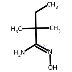 CCC(C)(C)/C(N)=N/O